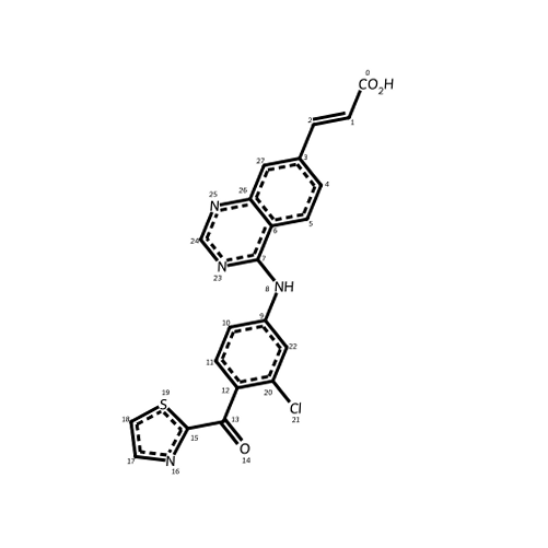 O=C(O)C=Cc1ccc2c(Nc3ccc(C(=O)c4nccs4)c(Cl)c3)ncnc2c1